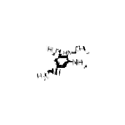 CCNc1cc(N)c(NCC)c(N)c1